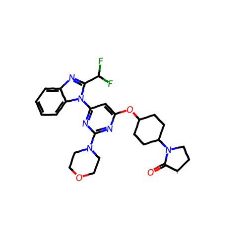 O=C1[CH]CCN1C1CCC(Oc2cc(-n3c(C(F)F)nc4ccccc43)nc(N3CCOCC3)n2)CC1